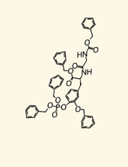 O=C(CNC(=O)OCc1ccccc1)N[C@@H](Cc1ccc(OP(=O)(OCc2ccccc2)OCc2ccccc2)c(OCc2ccccc2)c1)C(=O)OCc1ccccc1